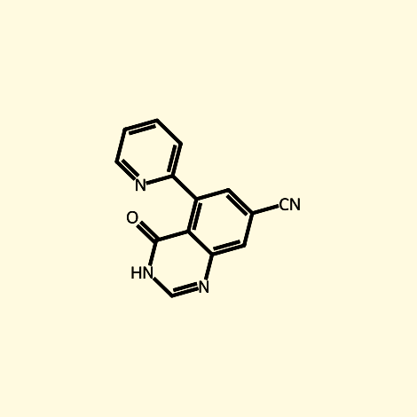 N#Cc1cc(-c2ccccn2)c2c(=O)[nH]cnc2c1